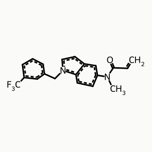 C=CC(=O)N(C)c1ccc2c(ccn2Cc2cccc(C(F)(F)F)c2)c1